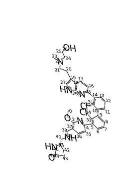 COc1nc(-c2cccc(-c3cccc(-c4ccc5c(CCN(C)CCO)c[nH]c5n4)c3Cl)c2Cl)ccc1CNC[C@@H]1CCC(=O)N1